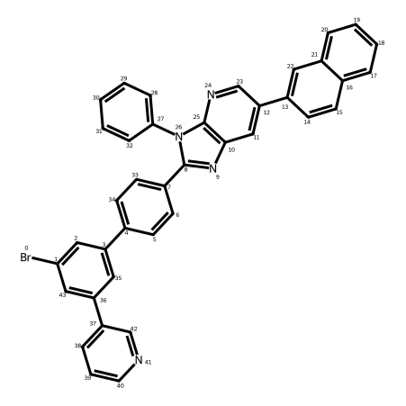 Brc1cc(-c2ccc(-c3nc4cc(-c5ccc6ccccc6c5)cnc4n3-c3ccccc3)cc2)cc(-c2cccnc2)c1